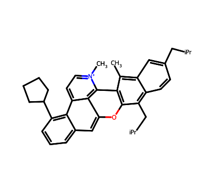 Cc1c2c(c(CC(C)C)c3ccc(CC(C)C)cc13)Oc1cc3cccc(C4CCCC4)c3c3cc[n+](C)c-2c13